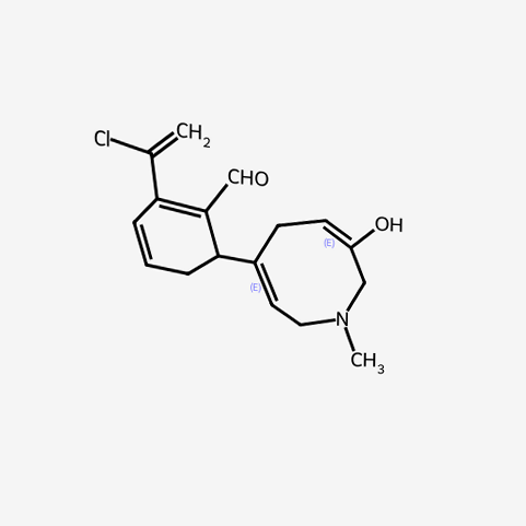 C=C(Cl)C1=C(C=O)C(/C2=C/CN(C)C/C(O)=C\C2)CC=C1